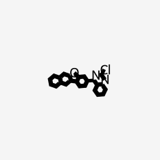 Clc1nc(-c2ccc3c(c2)oc2cc4ccccc4cc23)c2ccccc2n1